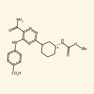 CC(C)(C)OC(=O)N[C@@H]1CCCN(c2nnc(C(N)=O)c(Nc3ccc(C(=O)O)cc3)n2)C1